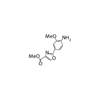 COC(=O)c1coc(-c2ccc(N)c(OC)c2)n1